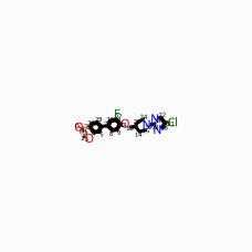 [O-][S@+]1COc2cc(-c3ccc(OCC4CCN(c5ncc(Cl)cn5)CC4)c(F)c3)ccc21